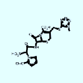 Cn1nnnc1SCC1=C(C(=O)O)N2C(=O)C(NC(=O)C(n3cccc3C=O)S(=O)(=O)O)C2SC1